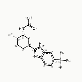 O=C(O)N[C@@H]1CN(c2nc3ccc(C(F)(F)F)cc3[nH]2)CC[C@@H]1F